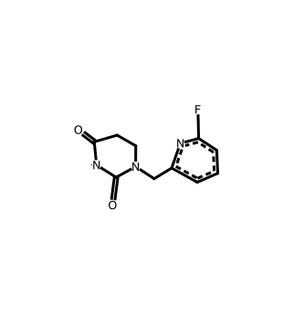 O=C1CCN(Cc2cccc(F)n2)C(=O)[N]1